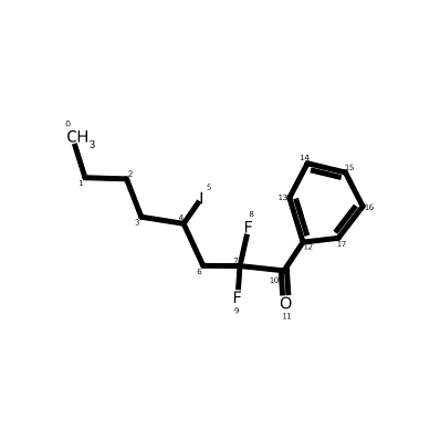 CCCCC(I)CC(F)(F)C(=O)c1ccccc1